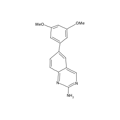 COc1cc(OC)cc(-c2ccc3nc(N)ncc3c2)c1